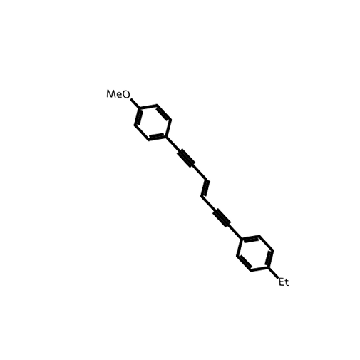 CCc1ccc(C#C/C=C/C#Cc2ccc(OC)cc2)cc1